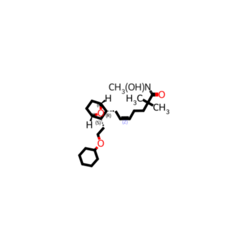 CN(O)C(=O)C(C)(C)CC/C=C\C[C@@H]1[C@H](CCOC2CCCCC2)[C@@H]2CC[C@H]1O2